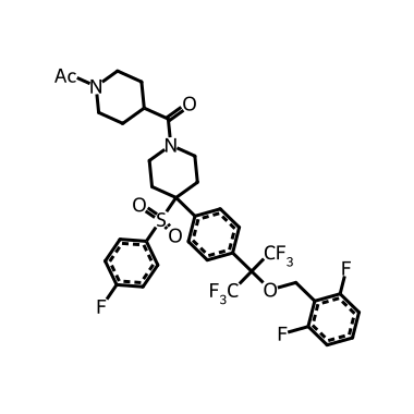 CC(=O)N1CCC(C(=O)N2CCC(c3ccc(C(OCc4c(F)cccc4F)(C(F)(F)F)C(F)(F)F)cc3)(S(=O)(=O)c3ccc(F)cc3)CC2)CC1